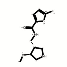 CO[C@@H]1CNC[C@H]1CNC(=O)c1ccc(Cl)s1